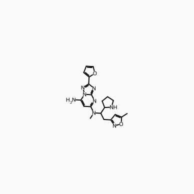 Cc1cc(CC(C2CCCN2)N(C)c2cc(N)n3nc(-c4ccco4)nc3n2)no1